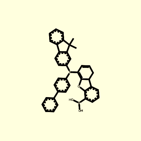 CC1(C)c2ccccc2-c2ccc(N(C3=C4Oc5c(B(O)O)cccc5C4CC=C3)c3ccc(-c4ccccc4)cc3)cc21